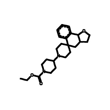 CCOC(=O)N1CCC(N2CCC3(CC2)CC2CCOC2c2ccccc23)CC1